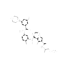 COCC(C)NC(=O)c1cn2ncnc(Nc3cc(NC(=O)c4cc(F)cc(N5CCOCC5)c4)ccc3C)c2c1C